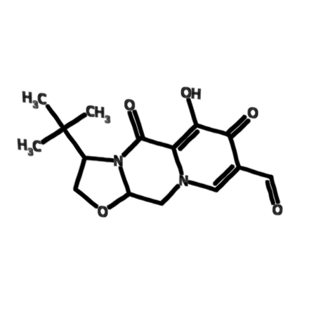 CC(C)(C)C1COC2Cn3cc(C=O)c(=O)c(O)c3C(=O)N21